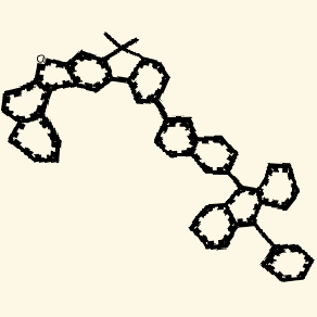 CC1(C)c2ccc(-c3ccc4cc(-c5c6ccccc6c(-c6ccccc6)c6ccccc56)ccc4c3)cc2-c2cc3c(cc21)oc1ccc2ccccc2c13